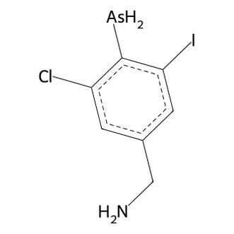 NCc1cc(Cl)c([AsH2])c(I)c1